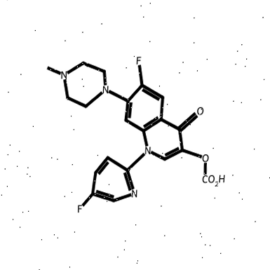 CN1CCN(c2cc3c(cc2F)c(=O)c(OC(=O)O)cn3-c2ccc(F)cn2)CC1